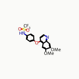 COc1cc2nccc(Oc3ccc(NS(=O)(=O)C(F)(F)F)cc3)c2cc1OC